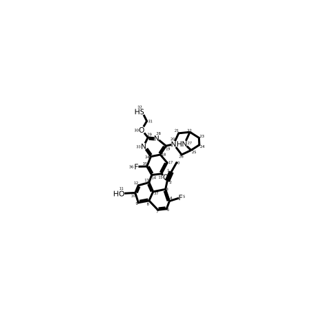 CC#Cc1c(F)ccc2cc(O)cc(-c3c(Cl)cc4c(N5CC6CCC(C5)N6)nc(OCS)nc4c3F)c12